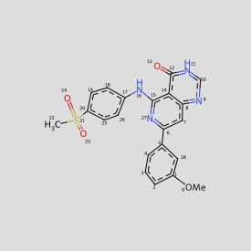 COc1cccc(-c2cc3nc[nH]c(=O)c3c(Nc3ccc(S(C)(=O)=O)cc3)n2)c1